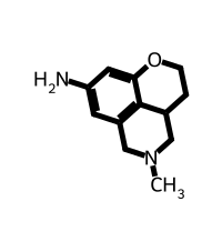 CN1Cc2cc(N)cc3c2C(CCO3)C1